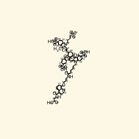 CC1(C)C(/C=C/C2=C(Oc3ccc(S(=O)(=O)O)cc3)C(=C/C=C3/N(CCCCCC(=O)NCCCOc4cccc5c(C(=O)NCC(=O)O)ccnc45)c4ccc(S(=O)(=O)O)cc4C3(C)C)/CCC2)=[N+](CCCCS(=O)(=O)[O-])c2ccc(S(=O)(=O)O)cc21